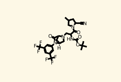 CC1CC(C#N)N(C(=O)C(CN2C[C@@H]3CC2C(=O)N3c2cc(C(F)(F)F)cc(C(F)(F)F)c2)NC(=O)OC(C)(C)C)C1